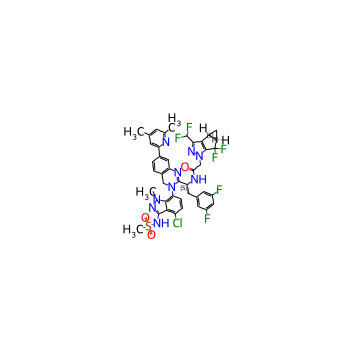 Cc1cc(C)nc(-c2ccc3c(c2)N=C([C@H](Cc2cc(F)cc(F)c2)NC(=O)Cn2nc(C(F)F)c4c2C(F)(F)[C@@H]2C[C@H]42)N(c2ccc(Cl)c4c(NS(C)(=O)=O)nn(C)c24)C3)c1